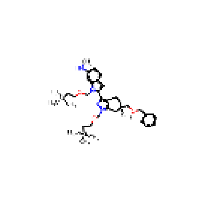 CNc1ccc2cc(-c3nn(COCC[Si](C)(C)C)c4c3CCC(C)(COCc3ccccc3)C4)n(COCC[Si](C)(C)C)c2c1